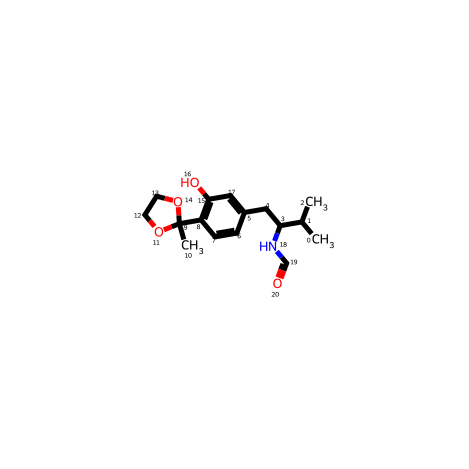 CC(C)C(Cc1ccc(C2(C)OCCO2)c(O)c1)NC=O